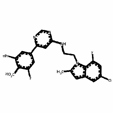 CCCc1cc(-c2cc(NCCn3c(C)cc4cc(Cl)cc(F)c43)ncn2)cc(F)c1C(=O)O